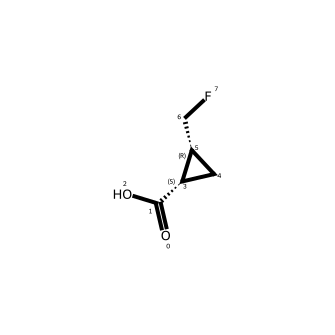 O=C(O)[C@H]1C[C@H]1CF